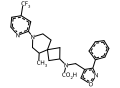 CC1CN(c2cc(C(F)(F)F)ccn2)CCC12CC(N(Cc1conc1-c1ccccc1)C(=O)O)C2